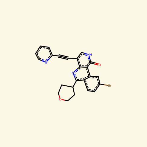 O=c1[nH]cc(C#Cc2ccccn2)c2nc(C3CCOCC3)c3ccc(Br)cc3c12